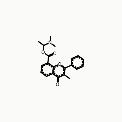 Cc1c(-c2ccccc2)oc2c(C(=O)OC(C)N(C)C)cccc2c1=O